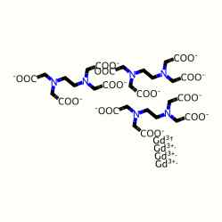 O=C([O-])CN(CCN(CC(=O)[O-])CC(=O)[O-])CC(=O)[O-].O=C([O-])CN(CCN(CC(=O)[O-])CC(=O)[O-])CC(=O)[O-].O=C([O-])CN(CCN(CC(=O)[O-])CC(=O)[O-])CC(=O)[O-].[Gd+3].[Gd+3].[Gd+3].[Gd+3]